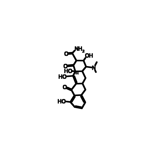 CN(C)C1C(O)C(C(N)=O)C(=O)[C@@]2(O)C(O)=C3C(=O)c4c(O)cccc4CC3CC12